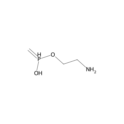 C=[PH](O)OCCN